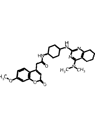 COc1ccc2c(CC(=O)NC3CCC(Nc4nc5c(c(N(C)C)n4)CCCC5)CC3)cc(=O)oc2c1